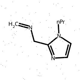 C=NCc1nccn1CCC